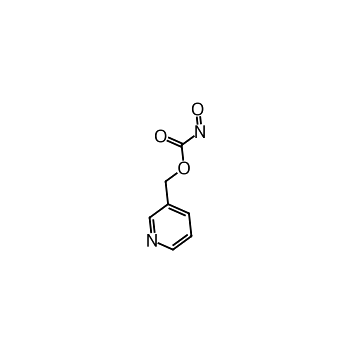 O=NC(=O)OCc1cccnc1